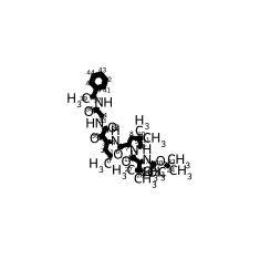 CCCC(NC(=O)C1CC(C)(C)CN1C(=O)C(NC(=O)OC(C)(C)C)C(C)(C)C)C(=O)C(=O)NCC(=O)NC(C)c1ccccc1